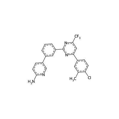 Cc1cc(-c2cc(C(F)(F)F)nc(-c3cccc(-c4ccc(N)nc4)c3)n2)ccc1Cl